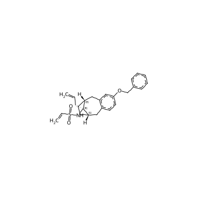 C=CC[C@]1(NS(=O)(=O)C=C)[C@@H]2CC[C@H]1Cc1ccc(OCc3ccccc3)cc1C2